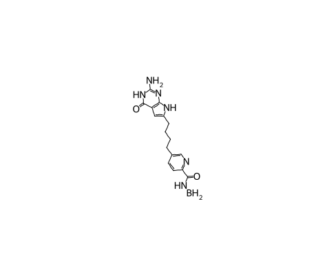 BNC(=O)c1ccc(CCCCc2cc3c(=O)[nH]c(N)nc3[nH]2)cn1